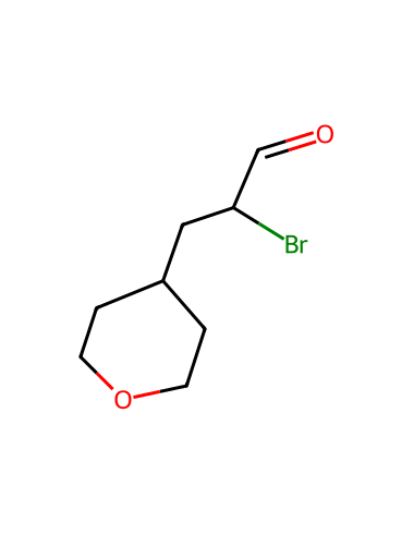 O=CC(Br)CC1CCOCC1